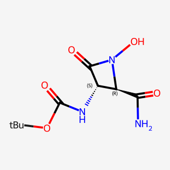 CC(C)(C)OC(=O)N[C@@H]1C(=O)N(O)[C@H]1C(N)=O